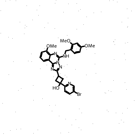 COc1ccc(CNc2nc3c(OC)cccc3c3nc(C4CC(O)(c5ccc(Br)cn5)C4)nn23)c(OC)c1